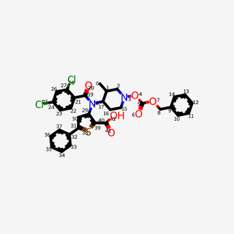 CC1CN(OC(=O)OCc2ccccc2)CCC1N(C(=O)c1ccc(Cl)cc1Cl)c1cc(-c2ccccc2)sc1C(=O)O